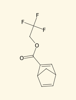 O=C(OCC(F)(F)F)C1=CC2C=CC1C2